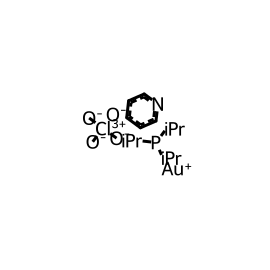 CC(C)P(C(C)C)C(C)C.[Au+].[O-][Cl+3]([O-])([O-])[O-].c1ccncc1